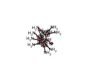 NCCCCCCNC(=O)CCC(CCC(=O)NCCCCCCN)(CCC(=O)NCCCCCCN)NC(=O)CCC(CCC(=O)NC(CCC(=O)NCCCCCCN)(CCC(=O)NCCCCCCN)CCC(=O)NCCCCCCN)(CCC(=O)NC(CCC(=O)NCCCCCCN)(CCC(=O)NCCCCCCN)CCC(=O)NCCCCCCN)NC(=O)CCSSc1ccccn1